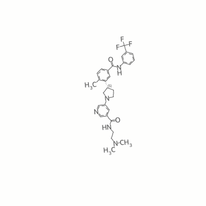 Cc1ccc(C(=O)Nc2cccc(C(F)(F)F)c2)cc1[C@@H]1CCN(c2cncc(C(=O)NCCN(C)C)c2)C1